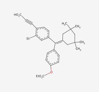 CCOC(=O)Oc1ccc(C(=C2CC(C)(C)CC(C)(C)C2)c2ccc(C#CC(=O)O)c(CC)c2)cc1